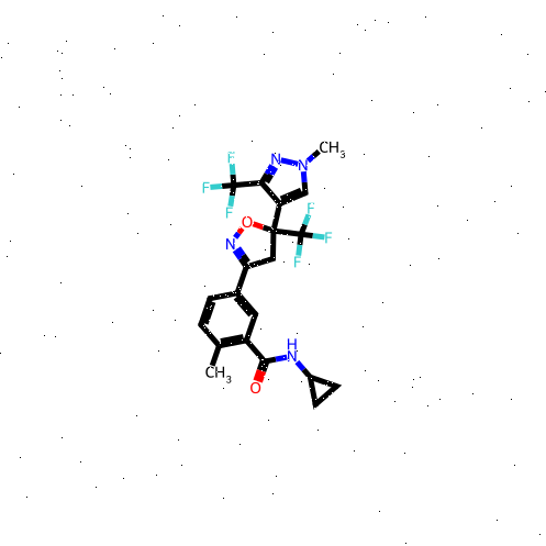 Cc1ccc(C2=NOC(c3cn(C)nc3C(F)(F)F)(C(F)(F)F)C2)cc1C(=O)NC1CC1